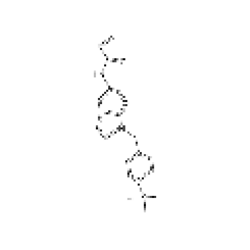 C=CC(=O)Nc1ccc2c(ccn2Cc2ccc(S(C)(C)C)cc2)c1